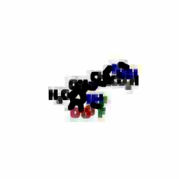 COc1c(C)c2c(c(NC(=O)C(F)F)c1C/C=C(\C)CC(CCN1CCNC1)C(=O)O)C(=O)OC2